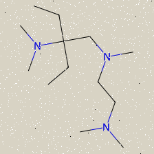 CCC(CC)(CN(C)CCN(C)C)N(C)C